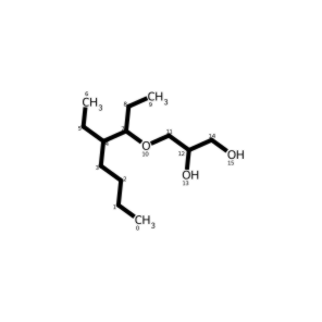 CCCCC(CC)C(CC)OCC(O)CO